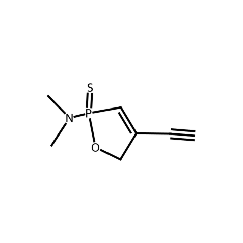 C#CC1=CP(=S)(N(C)C)OC1